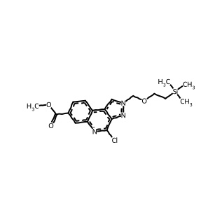 COC(=O)c1ccc2c(c1)nc(Cl)c1nn(COCC[Si](C)(C)C)cc12